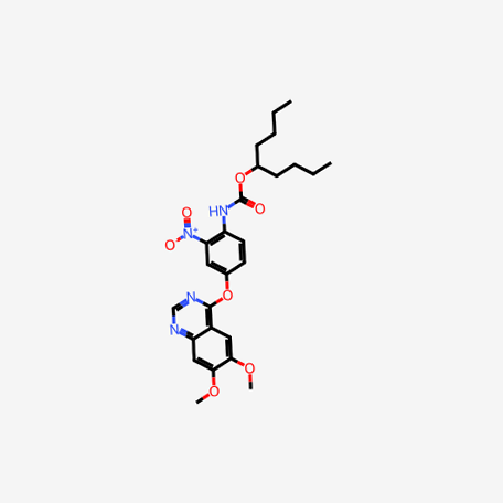 CCCCC(CCCC)OC(=O)Nc1ccc(Oc2ncnc3cc(OC)c(OC)cc23)cc1[N+](=O)[O-]